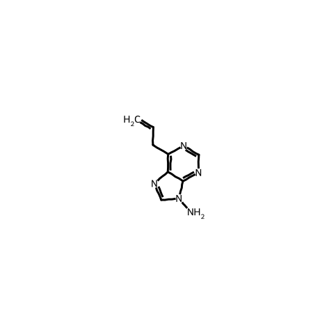 C=CCc1ncnc2c1ncn2N